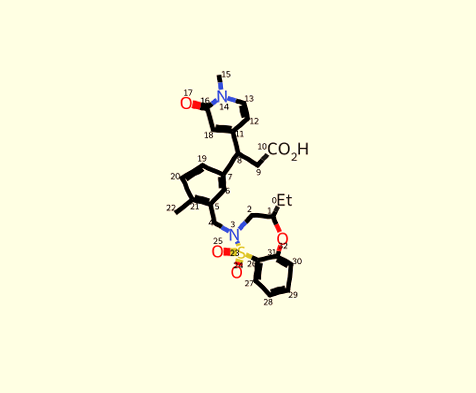 CCC1CN(Cc2cc(C(CC(=O)O)c3ccn(C)c(=O)c3)ccc2C)S(=O)(=O)c2ccccc2O1